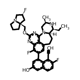 C#Cc1c(F)ccc2cc(O)cc(-c3cc4c5c(nc(OC[C@@]67CCCN6C[C@H](F)C7)nc5c3F)N3C[C@@H](C)N[C@@H](CC)[C@H]3CC4)c12